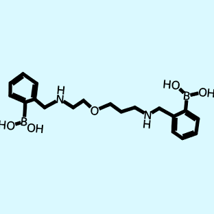 OB(O)c1ccccc1CNCCCOCCNCc1ccccc1B(O)O